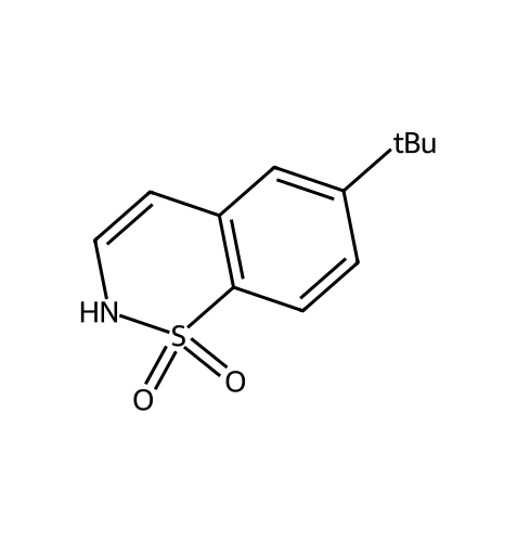 CC(C)(C)c1ccc2c(c1)C=CNS2(=O)=O